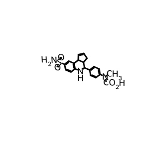 CN(C(=O)O)c1ccc(C2Nc3ccc(S(N)(=O)=O)cc3C3C=CCC32)cc1